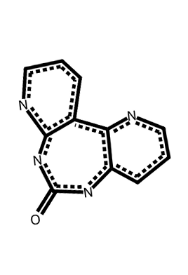 O=c1nc2cccnc2c2cccnc2n1